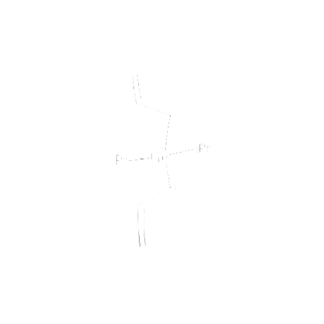 C=C[CH2][Ge]([CH2]C=C)([CH](C)C)[CH](C)C